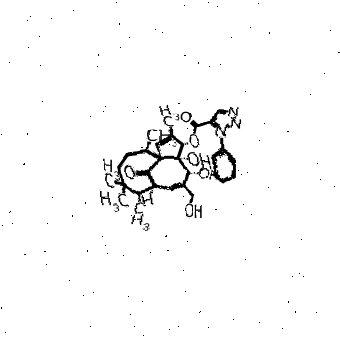 CC1=C[C@]23C(=O)[C@@H](C=C(CO)[C@@H](O)[C@]2(O)[C@H]1OC(=O)c1cnnn1-c1ccccc1)[C@@H](C)C(C)(C)CC[C@H]3C